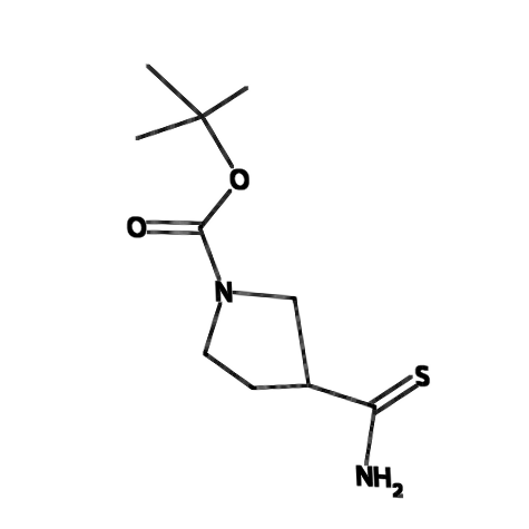 CC(C)(C)OC(=O)N1CCC(C(N)=S)C1